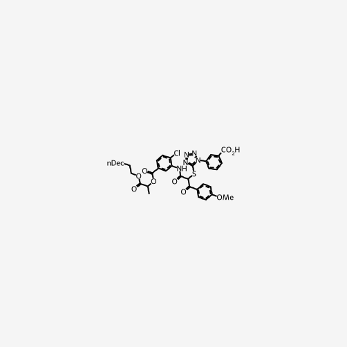 CCCCCCCCCCCCOC(=O)C(C)OC(=O)c1ccc(Cl)c(NC(=O)C(Sc2nnnn2-c2cccc(C(=O)O)c2)C(=O)c2ccc(OC)cc2)c1